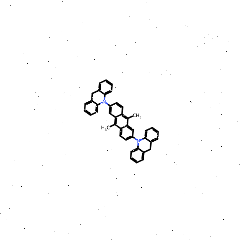 Cc1c2ccc(N3c4ccccc4Cc4ccccc43)cc2c(C)c2ccc(N3c4ccccc4Cc4ccccc43)cc12